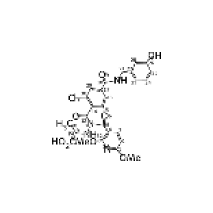 COc1ccc(C(=O)N(N[C@@H](C)C(=O)O)C(=O)c2ccc(C(=O)NCc3cccc(O)c3)cc2Cl)c(OC)n1